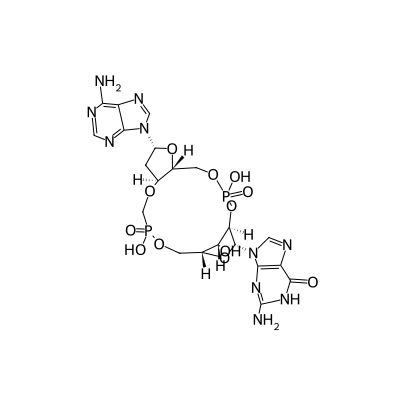 Nc1nc2c(ncn2[C@@H]2O[C@@H]3COP(=O)(O)CO[C@H]4C[C@H](n5cnc6c(N)ncnc65)O[C@@H]4COP(=O)(O)O[C@@H]2[C@@H]3O)c(=O)[nH]1